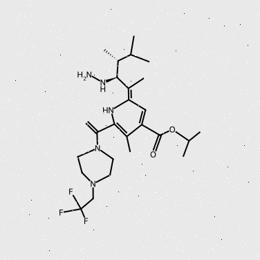 C=C(C1=C(C)C(C(=O)OC(C)C)=C/C(=C(\C)[C@@H](NN)[C@H](C)C(C)C)N1)N1CCN(CC(F)(F)F)CC1